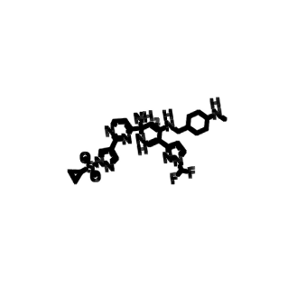 CNC1CCC(CNC2=CC(N)(c3ccnc(-c4cnn(S(=O)(=O)C5CC5)c4)n3)NC=C2c2ccn(C(F)F)n2)CC1